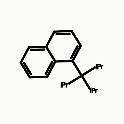 CC(C)C(c1cccc2ccccc12)(C(C)C)C(C)C